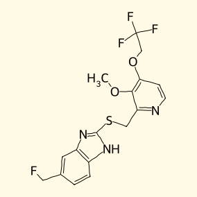 COc1c(OCC(F)(F)F)ccnc1CSc1nc2cc(CF)ccc2[nH]1